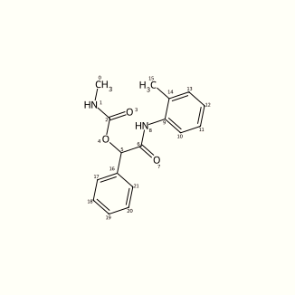 CNC(=O)OC(C(=O)Nc1ccccc1C)c1ccccc1